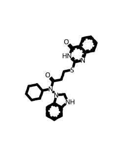 O=C(CCSc1nc2ccccc2c(=O)[nH]1)N(C1CCCCC1)N1CNc2ccccc21